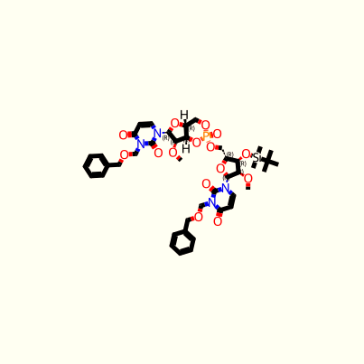 CO[C@@H]1[C@H](O[Si](C)(C)C(C)(C)C)[C@@H](COP2(=O)OC[C@H]3O[C@@H](n4ccc(=O)n(COCc5ccccc5)c4=O)[C@H](OC)[C@@H]3O2)O[C@H]1n1ccc(=O)n(COCc2ccccc2)c1=O